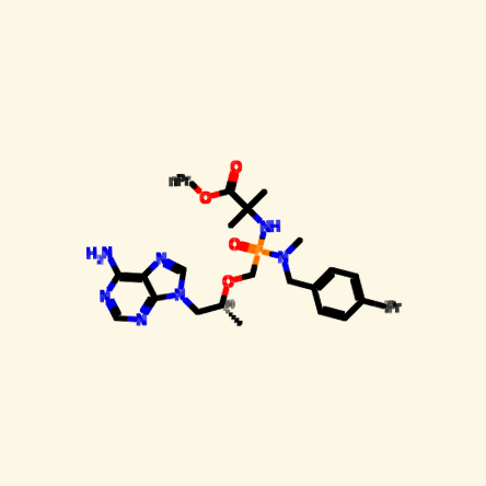 CCCOC(=O)C(C)(C)NP(=O)(CO[C@H](C)Cn1cnc2c(N)ncnc21)N(C)Cc1ccc(C(C)C)cc1